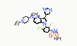 CCCS(=O)(=O)Nc1ccc(F)c(-n2cc(-c3cncnc3)c3nc(N(C)C4CCN(CC)CC4)ccc32)c1F